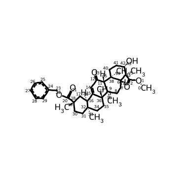 COC(=O)[C@@]1(C)[C@@H]2CC[C@]3(C)[C@H](C(=O)C=C4[C@@H]5C[C@@](C)(C(=O)OCc6ccccc6)CC[C@]5(C)CC[C@]43C)[C@@]2(C)CC[C@@H]1O